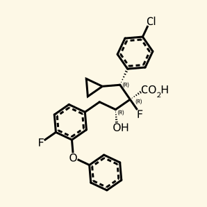 O=C(O)[C@](F)([C@H](O)Cc1ccc(F)c(Oc2ccccc2)c1)[C@@H](c1ccc(Cl)cc1)C1CC1